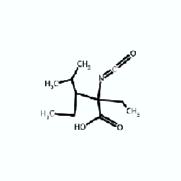 CCC(C(C)C)C(CC)(N=C=O)C(=O)O